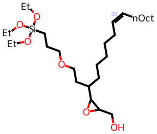 CCCCCCCC/C=C\CCCCCC(CCOCCC[Si](OCC)(OCC)OCC)C1OC1CO